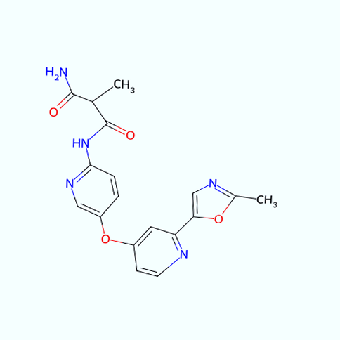 Cc1ncc(-c2cc(Oc3ccc(NC(=O)C(C)C(N)=O)nc3)ccn2)o1